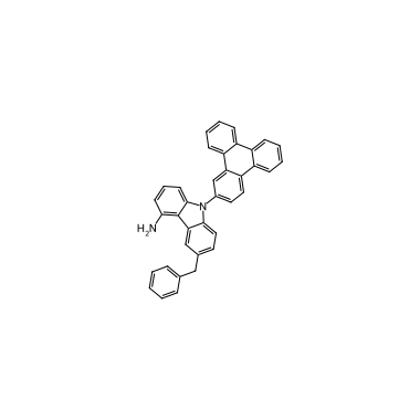 Nc1cccc2c1c1cc(Cc3ccccc3)ccc1n2-c1ccc2c3ccccc3c3ccccc3c2c1